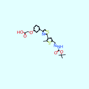 Cc1sc(C=NNC(=O)OC(C)(C)C)cc1-c1nc(-c2cccc(OCC(=O)O)c2)cs1